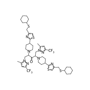 Cc1cc(C(F)(F)F)nn1CC(C(=O)C(Cn1nc(C(F)(F)F)cc1C)N1CCC(c2nc(CSC3CCCCC3)cs2)CC1)N1CCC(c2nc(CSC3CCCCC3)cs2)CC1